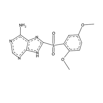 COc1ccc(OC)c(S(=O)(=O)c2nc3c(N)ncnc3[nH]2)c1